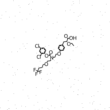 CCOC(Cc1ccc(OCCN(CCOCCCC(F)(F)F)C(=O)Oc2ccc(Cl)cc2Cl)cc1)C(=O)O